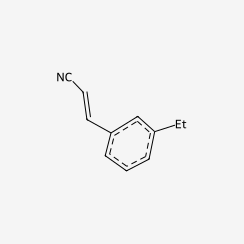 CCc1cccc(C=CC#N)c1